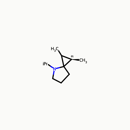 CC(C)N1CCCC12C(C)[C@H]2C